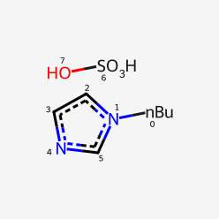 CCCCn1ccnc1.O=S(=O)(O)O